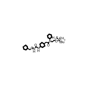 CC(C)(C)[Si](C)(C)OCCN(C(=O)Cc1ccc(NC(=O)NOCc2ccccc2)cc1)c1ccccc1